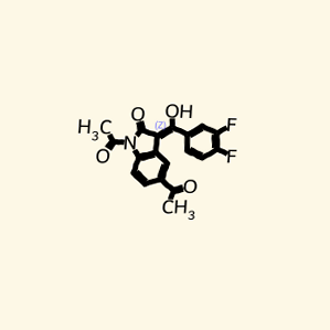 CC(=O)c1ccc2c(c1)/C(=C(/O)c1ccc(F)c(F)c1)C(=O)N2C(C)=O